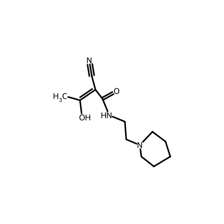 CC(O)=C(C#N)C(=O)NCCN1CCCCC1